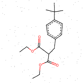 CCOC(=O)C(Cc1ccc(C(C)(C)C)cc1)C(=O)OCC